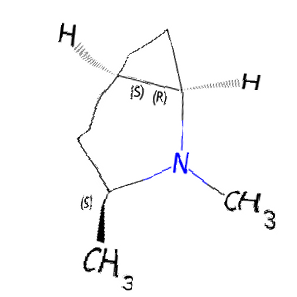 C[C@H]1C[C@H]2C[C@H]2N1C